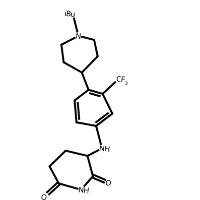 CCC(C)N1CCC(c2ccc(NC3CCC(=O)NC3=O)cc2C(F)(F)F)CC1